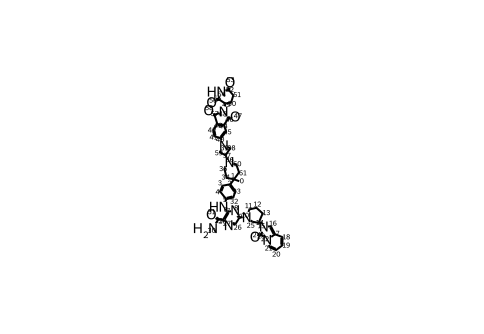 CC1(c2ccc(Nc3nc(N4CCCC(n5cc6ccccn6c5=O)C4)cnc3C(N)=O)cc2)CCN(C2CN(c3ccc4c(c3)C(=O)N(C3CCC(=O)NC3=O)C4=O)C2)CC1